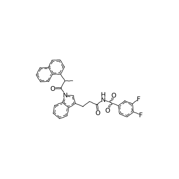 CC(C(=O)n1cc(CCC(=O)NS(=O)(=O)c2ccc(F)c(F)c2)c2ccccc21)c1cccc2ccccc12